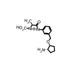 C[C@H](NC(=O)O)C(=O)Nc1cccc(CO[C@H]2CCC[C@@H]2N)c1